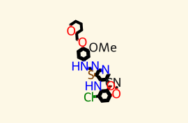 COc1cc(Nc2nc3ncc(C#N)c(Nc4c(Cl)ccc5c4OCO5)c3s2)ccc1OCC1CCCCO1